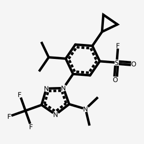 CC(C)c1cc(C2CC2)c(S(=O)(=O)F)cc1-n1nc(C(F)(F)F)nc1N(C)C